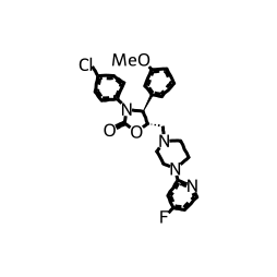 COc1cccc([C@H]2[C@H](CN3CCN(c4cc(F)ccn4)CC3)OC(=O)N2c2ccc(Cl)cc2)c1